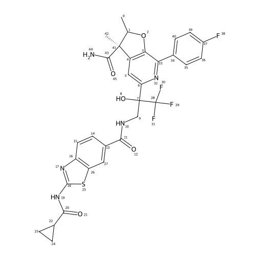 CC1Oc2c(cc(C(O)(CNC(=O)c3ccc4nc(NC(=O)C5CC5)sc4c3)C(F)(F)F)nc2-c2ccc(F)cc2)[C@@]1(C)C(N)=O